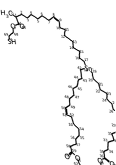 CC(CCCCCC/C=C\CCCCCCC[CH2][Sn]([CH2]CCCCCCC/C=C\CCCCCCCC(=O)OCCS)[CH2]CCCCCCC/C=C\CCCCCCCC(=O)OCCS)C(=O)OCCS